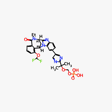 CCN1C(=O)c2cccc(OC(F)F)c2[C@H]2C[C@@H]1c1nc3ccc(-c4cnc(C(C)(C)OCOP(=O)(O)O)nc4)cc3n12